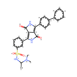 CCC(NS(=O)(=O)c1cccc(C2=C3C(=O)NC(c4ccc(-c5ccccc5)cc4)=C3C(=O)N2)c1)N(C)C